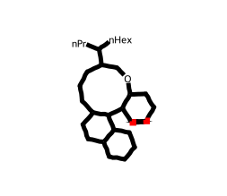 CCCCCCC(CCC)C1CCCC2CCC3CCCCC3C2C2C(CCC3CCCCC32)OC1